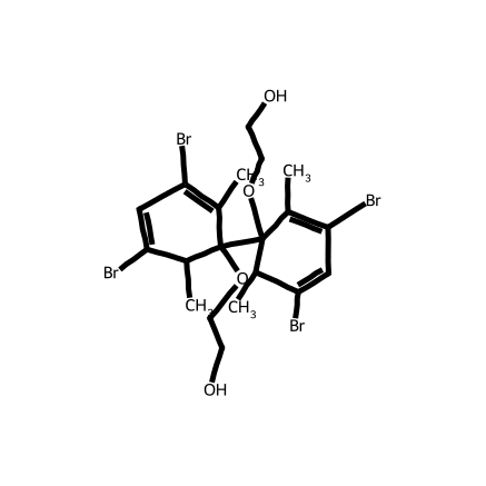 CC1=C(Br)C=C(Br)C(C)C1(OCCO)C1(OCCO)C(C)=C(Br)C=C(Br)C1C